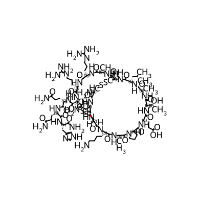 CC(C)C[C@@H]1NC(=O)[C@H](C)NC(=O)[C@H]([C@@H](C)O)NC(=O)[C@H](CCC(=O)O)NC(=O)[C@@H]2CCCN2C(=O)[C@H](C)NC(=O)[C@H](CCCCN)NC(=O)[C@@H]2CSSC[C@@H](C(=O)N[C@@H](CCC(N)=O)C(=O)N[C@@H](CCC(N)=O)C(=O)N[C@@H](Cc3c[nH]cn3)C(N)=O)NC(=O)[C@H](CCCN=C(N)N)NC(=O)[C@H](CCCN=C(N)N)NC(=O)[C@H](C)NC(=O)[C@H](CSSC[C@H](N)C(=O)N[C@@H](CC(N)=O)C(=O)N2)NC1=O